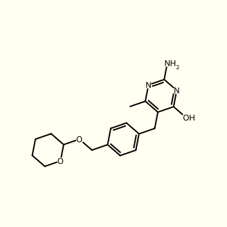 Cc1nc(N)nc(O)c1Cc1ccc(COC2CCCCO2)cc1